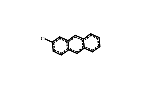 Clc1ccc2[c]c3ccccc3[c]c2c1